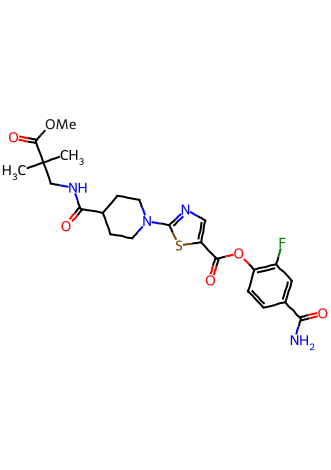 COC(=O)C(C)(C)CNC(=O)C1CCN(c2ncc(C(=O)Oc3ccc(C(N)=O)cc3F)s2)CC1